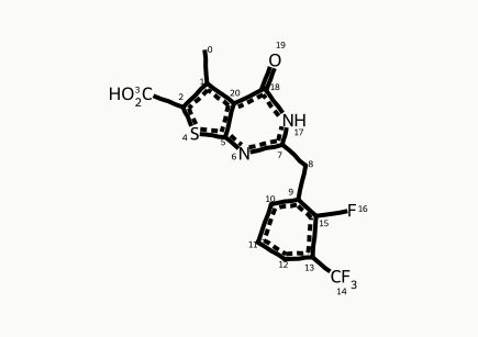 Cc1c(C(=O)O)sc2nc(Cc3cccc(C(F)(F)F)c3F)[nH]c(=O)c12